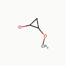 COC1CC1[O]